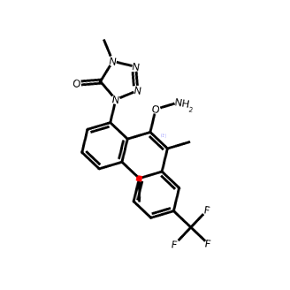 CCc1cccc(-n2nnn(C)c2=O)c1/C(ON)=C(/C)c1cccc(C(F)(F)F)c1